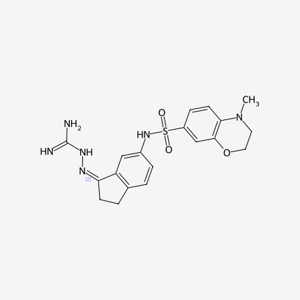 CN1CCOc2cc(S(=O)(=O)Nc3ccc4c(c3)/C(=N\NC(=N)N)CC4)ccc21